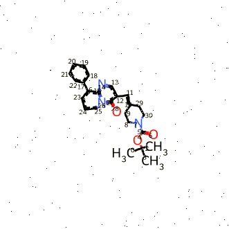 CC(C)(C)OC(=O)N1CCC(=Cc2cnc3c(-c4ccccc4)cccn3c2=O)CC1